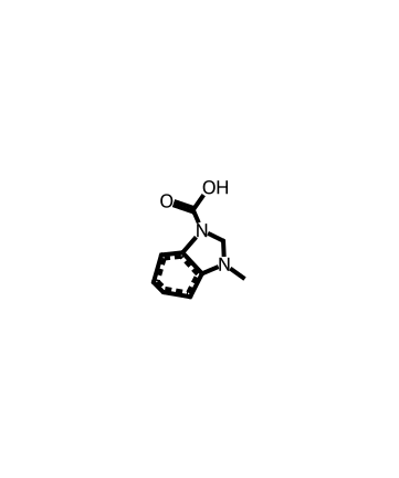 CN1CN(C(=O)O)c2ccccc21